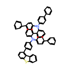 c1ccc(-c2ccc(N(c3ccc(-c4ccccc4)cc3)c3ccccc3-c3ccccc3N(c3ccc(-c4ccccc4)cc3)c3ccc(-c4cccc5sc6ccccc6c45)cc3)cc2)cc1